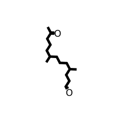 CC(=O)CCCC(C)CCCC(C)CCC=O